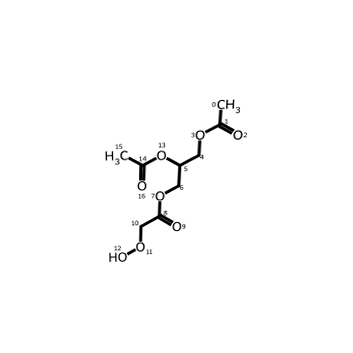 CC(=O)OCC(COC(=O)COO)OC(C)=O